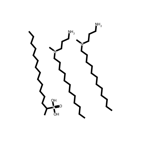 CCCCCCCCCCCCCC(C)P(=O)(O)O.CCCCCCCCCCCCN(C)CCCN.CCCCCCCCCCCCN(C)CCCN